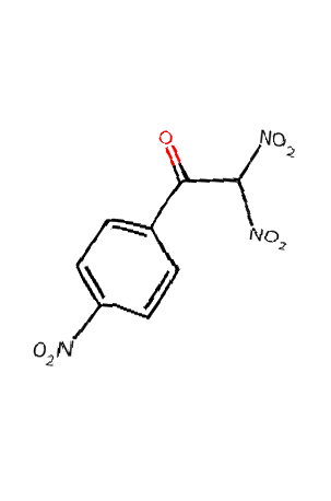 O=C(c1ccc([N+](=O)[O-])cc1)C([N+](=O)[O-])[N+](=O)[O-]